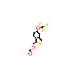 O=[C]OCc1scc2cc(OC(F)(F)F)ccc12